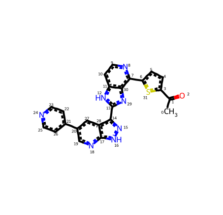 CC(=O)c1ccc(-c2nccc3[nH]c(-c4n[nH]c5ncc(-c6ccncc6)cc45)nc23)s1